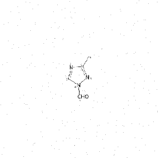 Cc1ncn(C=O)n1